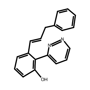 Oc1cccc(C=CCc2ccccc2)c1-c1cccnn1